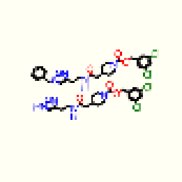 O=C(CC1CCN(C(=O)OCc2cc(Cl)cc(Cl)c2)CC1)NCCc1c[nH]nn1.O=C(CC1CCN(C(=O)OCc2cc(Cl)cc(Cl)c2)CC1)NCCc1cn(Cc2ccccc2)nn1